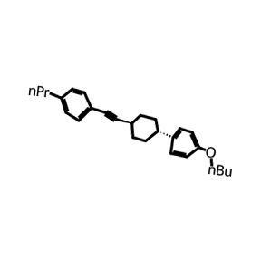 CCCCOc1ccc([C@H]2CC[C@H](C#Cc3ccc(CCC)cc3)CC2)cc1